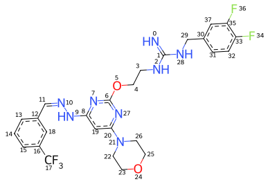 N=C(NCCOc1nc(N/N=C\c2cccc(C(F)(F)F)c2)cc(N2CCOCC2)n1)NCc1ccc(F)c(F)c1